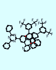 FC(F)(F)c1cc(-c2ccc3c(c2)c2ccccc2n3-c2ccc(-c3nc(-c4ccccc4)nc(-c4ccccc4)n3)cc2-c2ncccc2-n2c3ccccc3c3cc(-c4cc(C(F)(F)F)cc(C(F)(F)F)c4)ccc32)cc(C(F)(F)F)c1